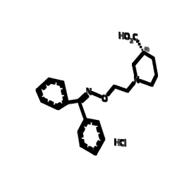 Cl.O=C(O)[C@@H]1CCCN(CCON=C(c2ccccc2)c2ccccc2)C1